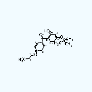 CCCOc1ccc(C(=O)c2ccc(OC(C)(C)C)cc2O)cc1